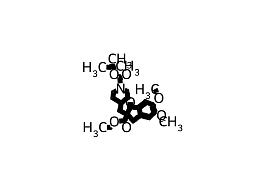 CCOC(=O)C1(CC2CCN(C(=O)OC(C)(C)C)CC2)Cc2cc(OC)c(OC)cc2C1=O